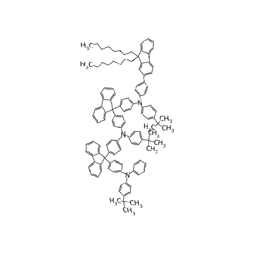 CCCCCCCCC1(CCCCCCCC)c2ccccc2-c2ccc(-c3ccc(N(c4ccc(C(C)(C)C)cc4)c4ccc(C5(c6ccc(N(c7ccc(C(C)(C)C)cc7)c7ccc(C8(c9ccc(N(c%10ccccc%10)c%10ccc(C(C)(C)C)cc%10)cc9)c9ccccc9-c9ccccc98)cc7)cc6)c6ccccc6-c6ccccc65)cc4)cc3)cc21